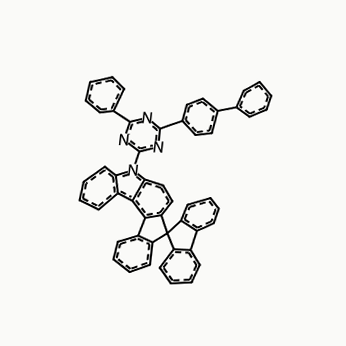 c1ccc(-c2ccc(-c3nc(-c4ccccc4)nc(-n4c5ccccc5c5c6c(ccc54)C4(c5ccccc5-c5ccccc54)c4ccccc4-6)n3)cc2)cc1